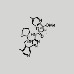 CO[C@H](c1ncc(C)cn1)[C@H](C)S(=O)(=O)Nc1nnc2n1[C@H]([C@@H]1CCCCO1)Cc1c(C)cncc1-2